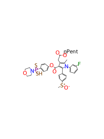 CCCCCOC(=O)Cc1c(C(=O)Oc2ccc(P(=S)(S)N3CCOCC3)cc2)c(-c2ccc([S+](C)[O-])cc2)n(-c2cccc(F)c2)c1C